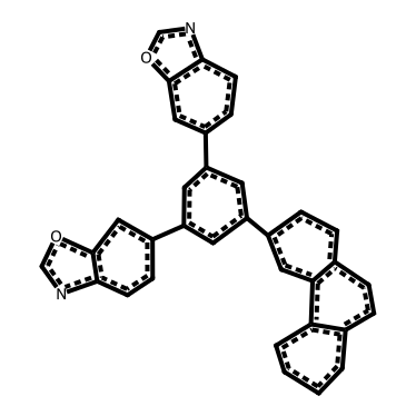 c1ccc2c(c1)ccc1ccc(-c3cc(-c4ccc5ncoc5c4)cc(-c4ccc5ncoc5c4)c3)cc12